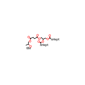 CCCCCCCC(=O)OCC(COC(=O)CCC(=O)OCC(C)OC(C)(C)C)OC(=O)CCCCCCC